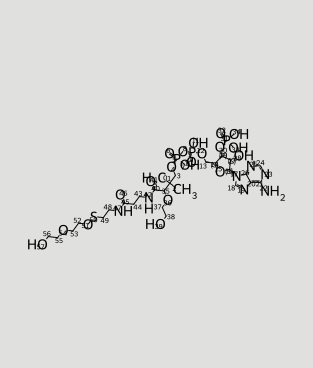 CC(C)(COP(=O)(O)OP(=O)(O)OC[C@@H]1O[C@H](n2cnc3c(N)ncnc32)[C@@H](O)[C@H]1OP(=O)(O)O)C(OCCO)C(=O)NCCC(=O)NCCSOCCOCCO